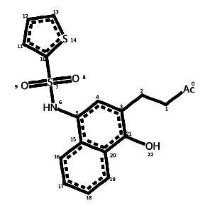 CC(=O)CCc1cc(NS(=O)(=O)c2cccs2)c2ccccc2c1O